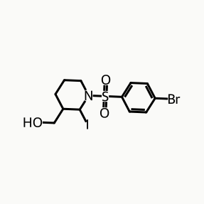 O=S(=O)(c1ccc(Br)cc1)N1CCCC(CO)C1I